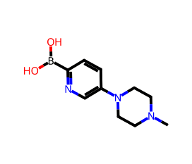 CN1CCN(c2ccc(B(O)O)nc2)CC1